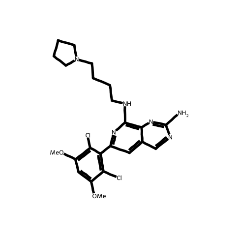 COc1cc(OC)c(Cl)c(-c2cc3cnc(N)nc3c(NCCCCN3CCCC3)n2)c1Cl